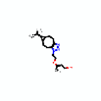 CC(CCO)OCCn1nnc2c1CCC1C(CC2)C1C(C)C